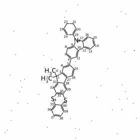 CC1(C)c2cc(-c3ccc4c(c3)c3ccccc3n4C3=CCCC=C3)ccc2-c2cc3c(cc21)Sc1ccccc1S3